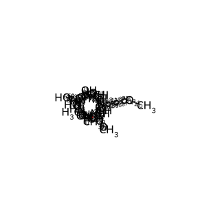 CCCCCOc1ccc(-c2ccc(-c3ccc(C(=O)NC4C[C@@H](O)C(NCCOCCOC)NC(=O)C5[C@@H](O)[C@@H](C)CN5C(=O)C([C@@H](C)O)NC(=O)C([C@H](O)[C@@H](O)c5ccc(O)cc5)NC(=O)C5C[C@@H](O)CN5C(=O)C([C@@H](C)O)NC4=O)cc3)cc2)cc1